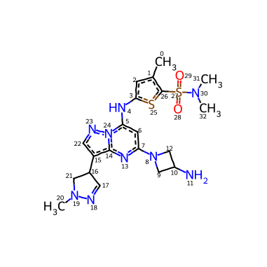 Cc1cc(Nc2cc(N3CC(N)C3)nc3c(C4C=NN(C)C4)cnn23)sc1S(=O)(=O)N(C)C